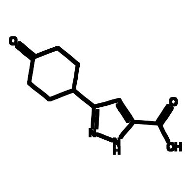 O=C1CCC(c2cc(C(=O)O)[nH]n2)CC1